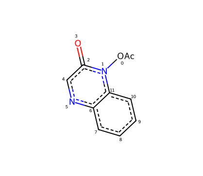 CC(=O)On1c(=O)cnc2ccccc21